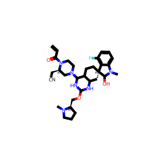 C=CC(=O)N1CCN(C2NC(OC[C@H]3CCCN3C)NC3C[C@]4(CCC32)c2c(F)cccc2N(C)C4O)C[C@H]1CC#N